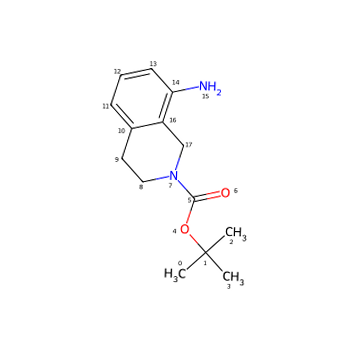 CC(C)(C)OC(=O)N1CCc2cccc(N)c2C1